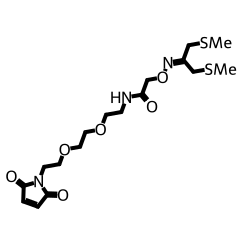 CSCC(CSC)=NOCC(=O)NCCOCCOCCN1C(=O)C=CC1=O